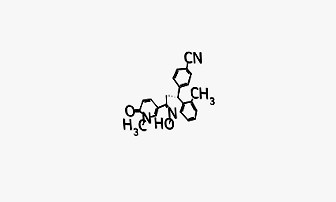 Cc1ccccc1[C@H](C/C(=N/O)c1ccc(=O)n(C)c1)c1ccc(C#N)cc1